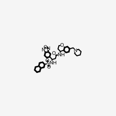 O=C(CC(NS(=O)(=O)c1ccc2ccccc2c1)c1ccc2nonc2c1)NC1CCOc2cc(CN3CCCCC3)ccc21